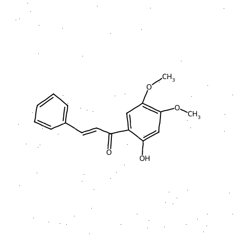 COc1cc(O)c(C(=O)/C=C/c2ccccc2)cc1OC